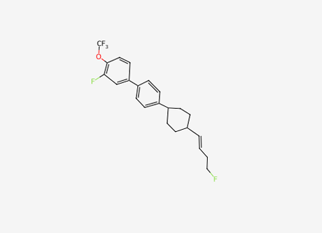 FCCC=CC1CCC(c2ccc(-c3ccc(OC(F)(F)F)c(F)c3)cc2)CC1